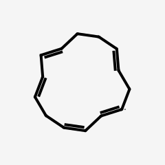 [C]1=C/C=C\C/C=C/C=C/CC/C=C/C/1